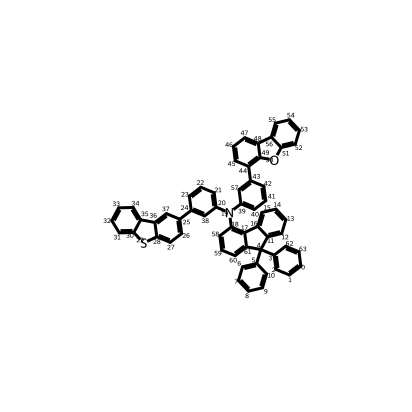 c1ccc(C2(c3ccccc3)c3ccccc3-c3c(N(c4cccc(-c5ccc6sc7ccccc7c6c5)c4)c4cccc(-c5cccc6c5oc5ccccc56)c4)cccc32)cc1